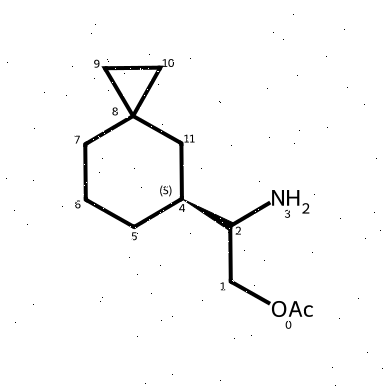 CC(=O)OCC(N)[C@H]1CCCC2(CC2)C1